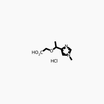 CC(OCC(=O)O)c1cn(C)cn1.Cl